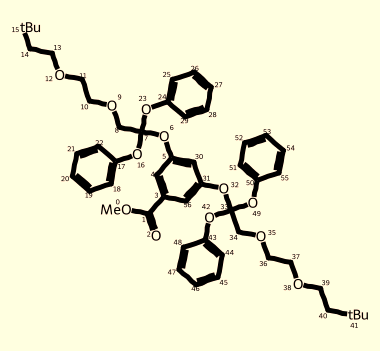 COC(=O)c1cc(OC(COCCOCCC(C)(C)C)(Oc2ccccc2)Oc2ccccc2)cc(OC(COCCOCCC(C)(C)C)(Oc2ccccc2)Oc2ccccc2)c1